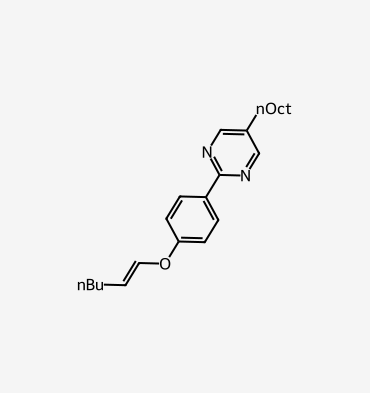 CCCCC=COc1ccc(-c2ncc(CCCCCCCC)cn2)cc1